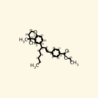 CCCCCC(/C=C/c1ccc(C(=O)OCC)cc1)c1ccc2c(c1)C(C)(C)CCO2